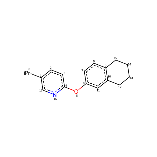 CC(C)c1ccc(Oc2ccc3c(c2)CCCC3)nc1